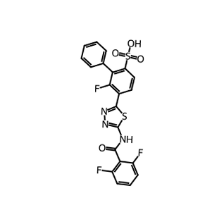 O=C(Nc1nnc(-c2ccc(S(=O)(=O)O)c(-c3ccccc3)c2F)s1)c1c(F)cccc1F